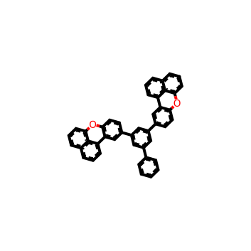 c1ccc(-c2cc(-c3ccc4c(c3)-c3cccc5cccc(c35)O4)cc(-c3ccc4c(c3)-c3cccc5cccc(c35)O4)c2)cc1